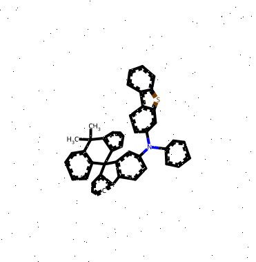 CC1(C)c2ccccc2C2(c3ccccc3-c3ccc(N(c4ccccc4)c4ccc5c(c4)sc4ccccc45)cc32)c2ccccc21